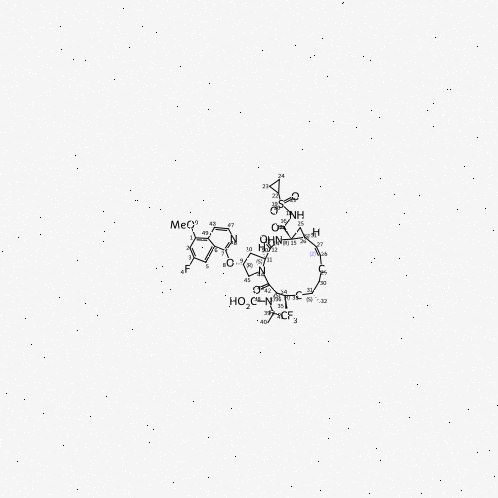 COc1cc(F)cc2c(O[C@@H]3C[C@H]4C(=O)N[C@]5(C(=O)NS(=O)(=O)C6CC6)C[C@H]5/C=C\CC[C@H](C)C[C@@H](C)[C@H](N(C(=O)O)[C@H](C)C(F)(F)F)C(=O)N4C3)nccc12